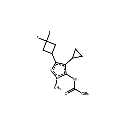 CC(C)COC(=O)Nc1c(C2CC2)c(C2CC(F)(F)C2)nn1C